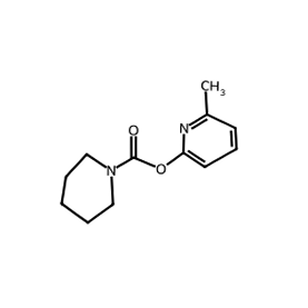 Cc1cccc(OC(=O)N2CCCCC2)n1